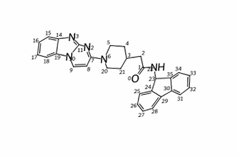 O=C(CC1CCN(c2ccn3c(n2)nc2ccccc23)CC1)NC1c2ccccc2-c2ccccc21